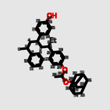 CCC(CC(CC(C)c1ccccc1)c1ccc(O)cc1)c1ccc(OC(C)OC23CC4CC(CC(C4)C2)C3)cc1